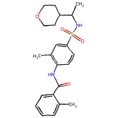 Cc1cc(S(=O)(=O)NC(C)C2CCOCC2)ccc1NC(=O)c1ccccc1C